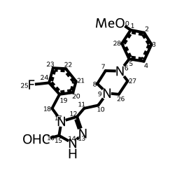 COc1cccc(N2CCN(CCC3=NNC(C=O)N3Cc3ccccc3F)CC2)c1